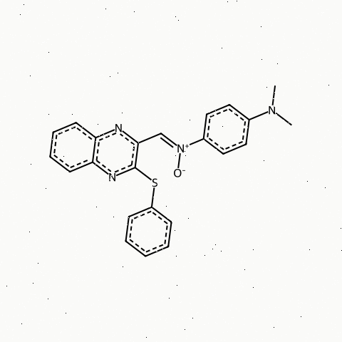 CN(C)c1ccc([N+]([O-])=Cc2nc3ccccc3nc2Sc2ccccc2)cc1